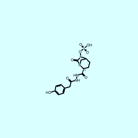 O=C(Cc1ccc(O)cc1)NNC(=O)[C@@H]1CCC2CN1C(=O)N2OS(=O)(=O)O